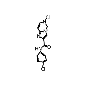 O=C(Nc1ccc(Cl)cc1)C1=C[N+]2CN(Cl)C=CC2=N1